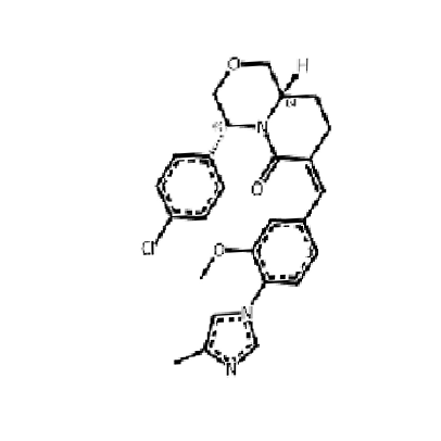 COc1cc(C=C2CC[C@H]3COC[C@@H](c4ccc(Cl)cc4)N3C2=O)ccc1-n1cnc(C)c1